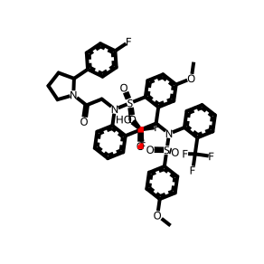 COc1ccc(S(=O)(=O)N(c2ccccc2C(F)(F)F)C(C(=O)O)c2cc(OC)ccc2S(=O)(=O)N(CC(=O)N2CCCC2c2ccc(F)cc2)c2ccccc2C(F)(F)F)cc1